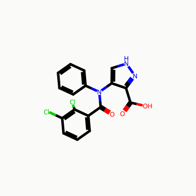 O=C(O)c1n[nH]cc1N(C(=O)c1cccc(Cl)c1Cl)c1ccccc1